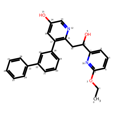 CCOc1cccc(C(O)Cc2ncc(O)cc2-c2cccc(-c3ccccc3)c2)n1